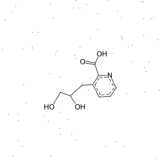 O=C(O)c1ncccc1CC(O)CO